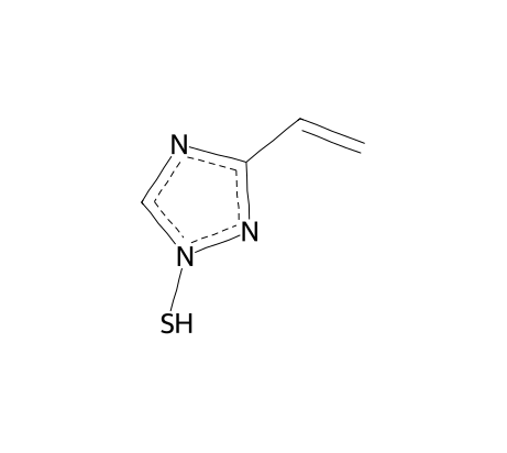 C=Cc1ncn(S)n1